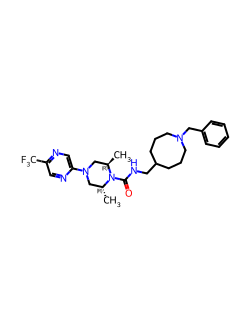 C[C@@H]1CN(c2cnc(C(F)(F)F)cn2)C[C@@H](C)N1C(=O)NCC1CCCN(Cc2ccccc2)CCC1